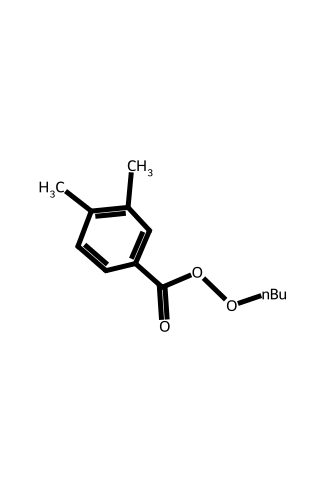 [CH2]CCCOOC(=O)c1ccc(C)c(C)c1